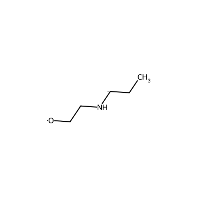 CC[CH]NCC[O]